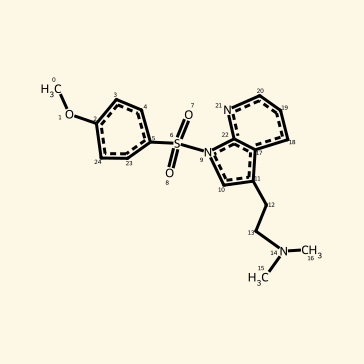 COc1ccc(S(=O)(=O)n2cc(CCN(C)C)c3cccnc32)cc1